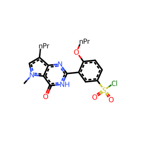 CCCOc1ccc(S(=O)(=O)Cl)cc1-c1nc2c(CCC)cn(C)c2c(=O)[nH]1